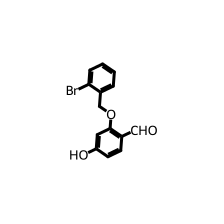 O=Cc1ccc(O)cc1OCc1ccccc1Br